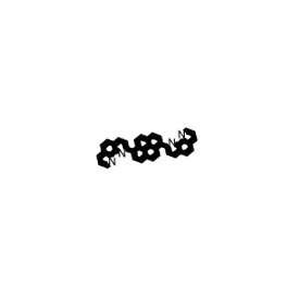 c1cnc2c(c1)ccc1ccc(-c3ccc4ccc5c(-c6ccc7ccc8cccnc8c7n6)ccc6ccc3c4c65)nc12